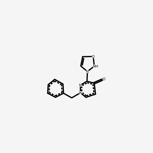 O=c1ccn(Cc2ccccc2)nc1N1C=CON1